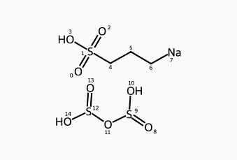 O=S(=O)(O)CC[CH2][Na].O=S(O)OS(=O)O